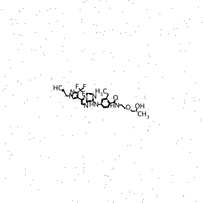 C#CCn1cc(-c2cnc3c(Nc4ccc(C(=O)NCCOC[C@@H](C)O)c(CC)c4)nccn23)c(C(F)(F)F)n1